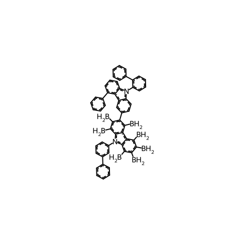 Bc1c(B)c(B)c2c(c1B)c1c(B)c(-c3ccc4c(c3)c3c(-c5ccccc5)cccc3n4-c3ccccc3-c3ccccc3)c(B)c(B)c1n2-c1cccc(-c2ccccc2)c1